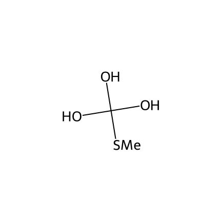 CSC(O)(O)O